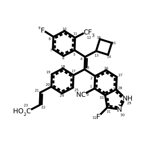 N#Cc1c(/C(=C(/c2ccc(F)cc2C(F)(F)F)C2CCC2)c2ccc(/C=C/C(=O)O)cc2)ccc2[nH]nc(F)c12